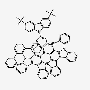 CC(C)(C)c1ccc2c(c1)c1cc(C(C)(C)C)ccc1n2-c1cc2c3c(c1)Sc1c(c4oc5ccccc5c4c4c5ccccc5n(-c5c(-c6ccccc6)cccc5-c5ccccc5)c14)B3c1c(c3c(c4ccccc4n3-c3ccccc3C#N)c3c1oc1ccccc13)S2